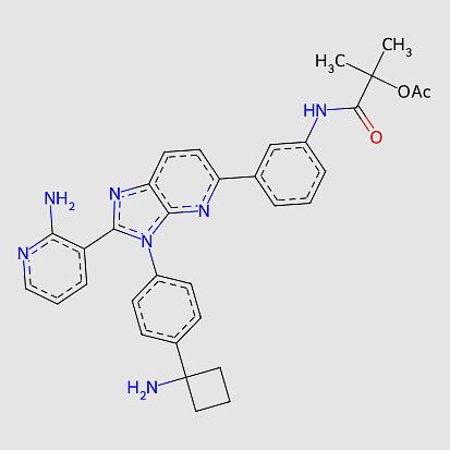 CC(=O)OC(C)(C)C(=O)Nc1cccc(-c2ccc3nc(-c4cccnc4N)n(-c4ccc(C5(N)CCC5)cc4)c3n2)c1